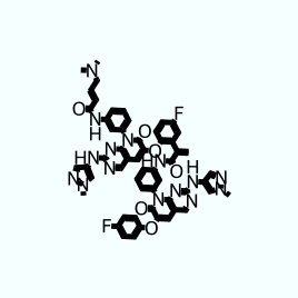 C=C(C(=O)Nc1cccc(-n2c(=O)c(Oc3ccc(F)cc3)cc3cnc(Nc4cnn(C)c4)nc32)c1)c1cc(F)ccc1Oc1cc2cnc(Nc3cnn(C)c3)nc2n(-c2cccc(NC(=O)/C=C/CN(C)C)c2)c1=O